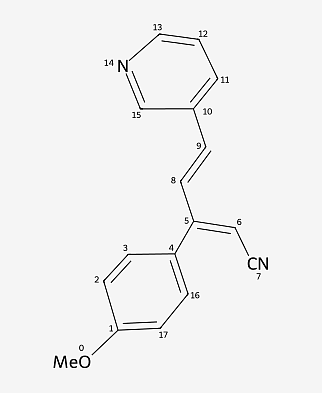 COc1ccc(C(=C\C#N)/C=C/c2cccnc2)cc1